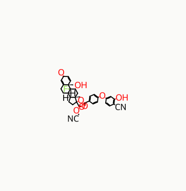 C[C@]12C=CC(=O)C=C1CC[C@H]1[C@@H]3CC[C@@](OC(=O)c4ccc(Oc5ccc(C#N)c(O)c5)cc4)(C(=O)OCC#N)[C@@]3(C)C[C@H](O)C12F